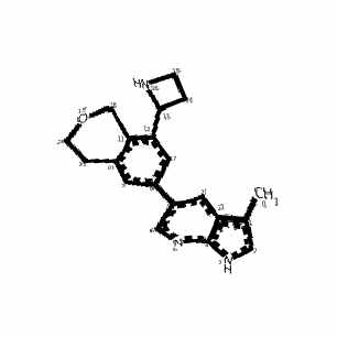 Cc1c[nH]c2ncc(-c3cc4c(c(C5CCN5)c3)COCC4)cc12